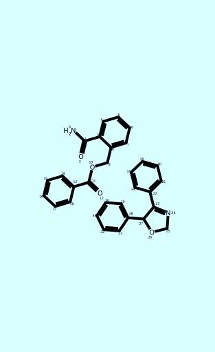 NC(=O)c1ccccc1COC(=O)c1ccccc1.c1ccc(C2=NCOC2c2ccccc2)cc1